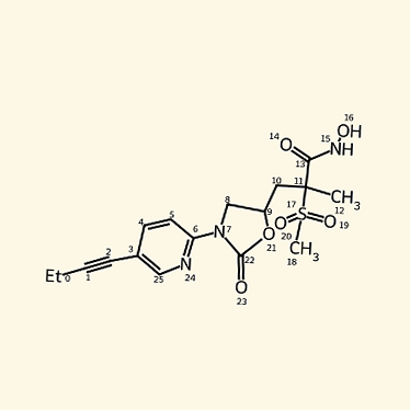 CCC#Cc1ccc(N2CC(CC(C)(C(=O)NO)S(C)(=O)=O)OC2=O)nc1